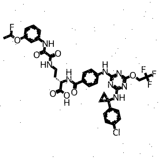 CC(F)Oc1cccc(NC(=O)C(=O)NCC[C@H](NC(=O)c2ccc(Nc3nc(NC4(c5ccc(Cl)cc5)CC4)nc(OCC(F)(F)F)n3)cc2)C(=O)O)c1